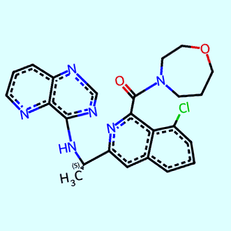 C[C@H](Nc1ncnc2cccnc12)c1cc2cccc(Cl)c2c(C(=O)N2CCCOCC2)n1